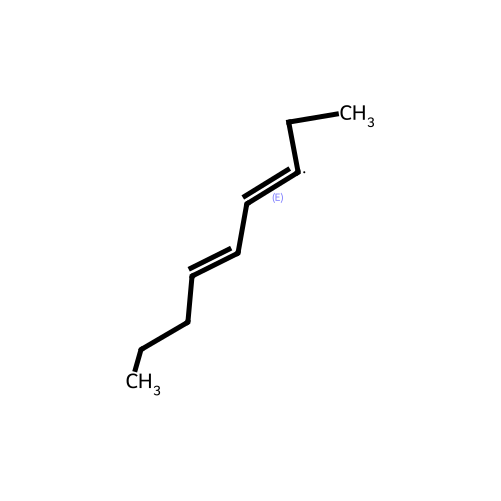 CC/[C]=C/C=CCCC